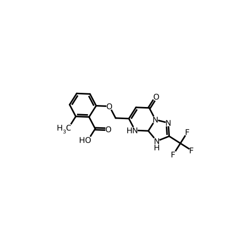 Cc1cccc(OCC2=CC(=O)N3N=C(C(F)(F)F)NC3N2)c1C(=O)O